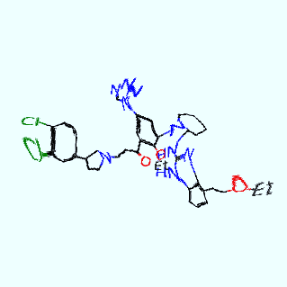 CCOCCc1cccc2[nH]c(NC3CCCCN3c3cc(-n4cnnn4)cc(C(=O)CCN4CCC(c5ccc(Cl)c(Cl)c5)C4)c3OCC)nc12